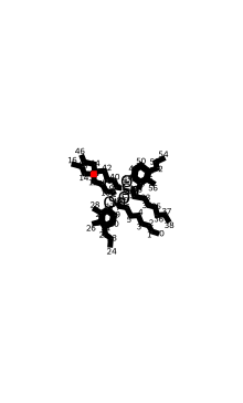 CCCCCCC[CH2][Sn]([CH2]CCCCCCC)([O]c1ccc(CCC)c(C)c1C)[O][Sn]([CH2]CCCCCCC)([CH2]CCCCCCC)[O]c1ccc(CCC)c(C)c1C